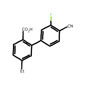 CCc1ccc(C(=O)O)c(-c2ccc(C#N)c(F)c2)c1